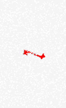 COc1ccc(C2(c3ccc(OC)cc3)C=Cc3c(COC(=O)CCC(=O)OCCCCCC(=O)OCCOCCOC(=O)CCCCCOC(=O)CCC(=O)OCc4c5c(c6ccccc6c4C)OC(c4ccc(OC)cc4)(c4ccc(OC)cc4)C=C5)c(C)c4ccccc4c3O2)cc1